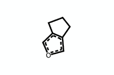 c1occ2c1CCC2